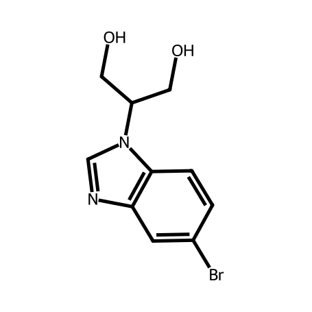 OCC(CO)n1cnc2cc(Br)ccc21